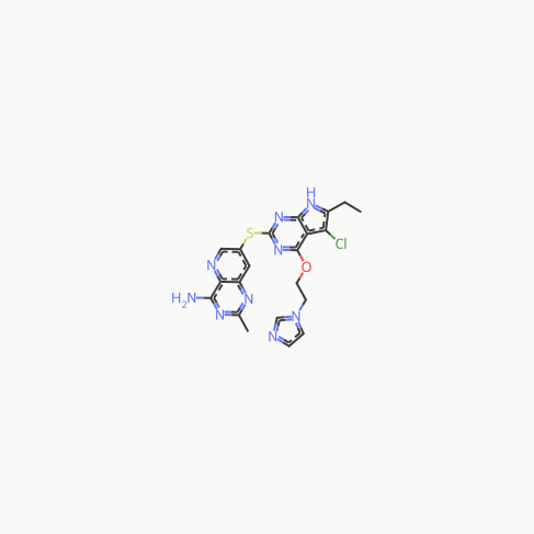 CCc1[nH]c2nc(Sc3cnc4c(N)nc(C)nc4c3)nc(OCCn3ccnc3)c2c1Cl